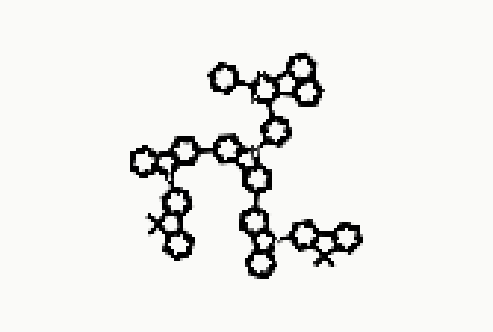 CC1(C)c2ccccc2-c2ccc(-n3c4ccccc4c4ccc(-c5ccc6c(c5)c5cc(-c7ccc8c9ccccc9n(-c9ccc%10c(c9)C(C)(C)c9ccccc9-%10)c8c7)ccc5n6-c5cccc(-c6nc(-c7ccccc7)nc7c6-c6cccc8cccc-7c68)c5)cc43)cc21